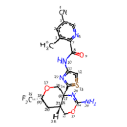 Cc1cc(C#N)cnc1C(=O)Nc1csc([C@]23CO[C@@H](C(F)(F)F)C[C@H]2COC(N)=N3)n1